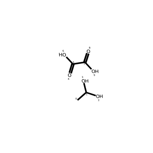 CC(O)O.O=C(O)C(=O)O